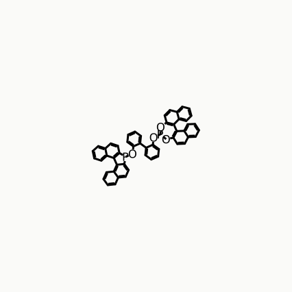 c1ccc(-c2ccccc2Op2c3ccc4ccccc4c3c3c4ccccc4ccc32)c(Op2oc3ccc4ccccc4c3c3c(ccc4ccccc43)o2)c1